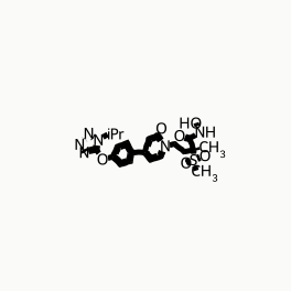 CC(C)n1nnnc1Oc1ccc(-c2ccn(CC[C@](C)(C(=O)NO)S(C)(=O)=O)c(=O)c2)cc1